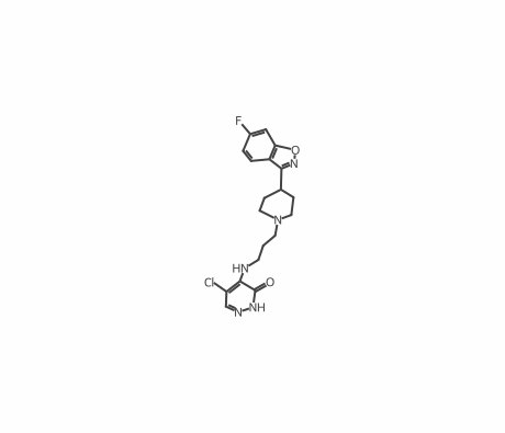 O=c1[nH]ncc(Cl)c1NCCCN1CCC(c2noc3cc(F)ccc23)CC1